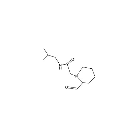 CC(C)CNC(=O)CN1CCCCC1C=O